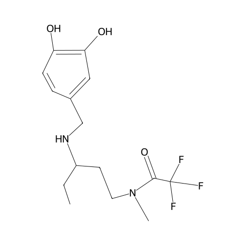 CCC(CCN(C)C(=O)C(F)(F)F)NCc1ccc(O)c(O)c1